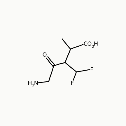 CC(C(=O)O)C(C(=O)CN)C(F)F